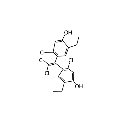 CCc1cc(C(=C(Cl)Cl)c2cc(CC)c(O)cc2Cl)c(Cl)cc1O